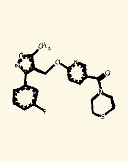 Cc1onc(-c2cccc(F)c2)c1COc1ccc(C(=O)N2CCSCC2)cn1